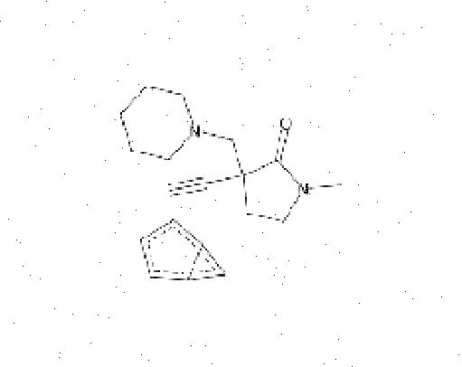 C#CC1(CN2CCCCC2)CCN(C)C1=O.c1cc2cc-2c1